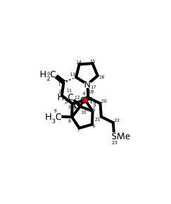 C=C(CC1CC2CCC1(C)C2(C)C)[C@@H]1CCCN1C(=O)CCCSC